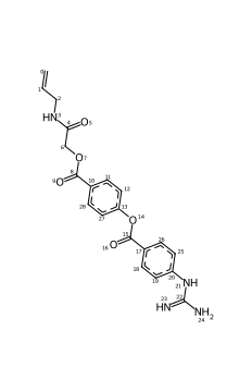 C=CCNC(=O)COC(=O)c1ccc(OC(=O)c2ccc(NC(=N)N)cc2)cc1